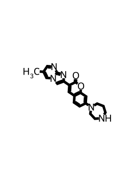 Cc1cnc2nc(-c3cc4ccc(N5CCCNCC5)cc4oc3=O)cn2c1